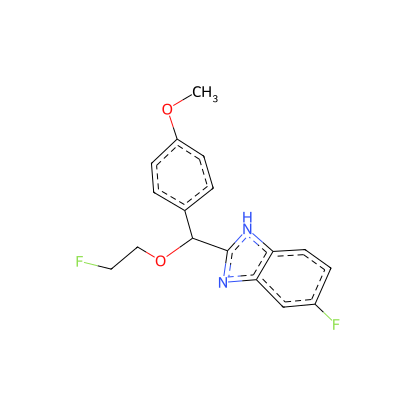 COc1ccc(C(OCCF)c2nc3cc(F)ccc3[nH]2)cc1